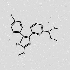 CCN(OC)c1cc(-c2nc(SC)[nH]c2-c2ccc(F)cc2)ccn1